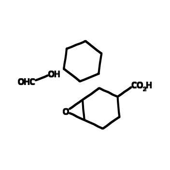 C1CCCCC1.O=C(O)C1CCC2OC2C1.O=CO